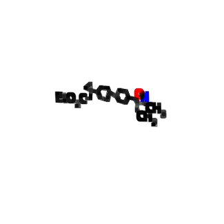 C=Cc1c(C)noc1-c1ccc(-c2ccc(C3(CC(=O)OCC)CC3)cc2)cc1